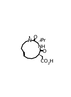 CC(C)[C@@H]1NC(=O)[C@@H](CC(=O)O)CCC/C=C/CCCN(C)C1=O